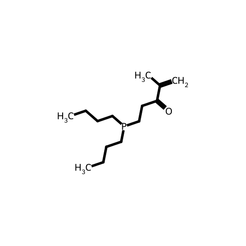 C=C(C)C(=O)CCP(CCCC)CCCC